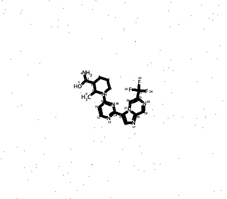 CC1C(C(N)O)CCCN1c1ccnc(-c2cnc3cnc(C(F)(F)F)cn23)n1